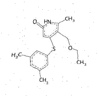 CCOCc1c(Sc2cc(C)cc(C)c2)cc(=O)[nH]c1C